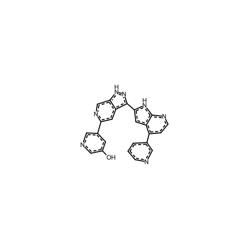 Oc1cncc(-c2cc3c(-c4cc5c(-c6cccnc6)ccnc5[nH]4)n[nH]c3cn2)c1